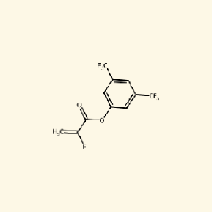 C=C(F)C(=O)Oc1cc(C(F)(F)F)cc(C(F)(F)F)c1